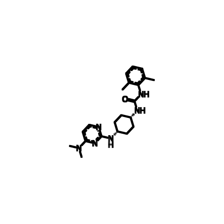 Cc1cccc(C)c1NC(=O)N[C@H]1CC[C@@H](Nc2nccc(N(C)C)n2)CC1